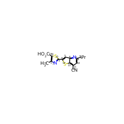 Cc1nc(-c2cc3nc(C(C)C)cc(C#N)c3s2)sc1C(=O)O